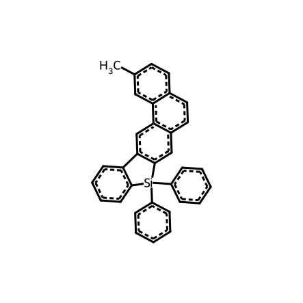 Cc1ccc2ccc3cc4c(cc3c2c1)-c1ccccc1[Si]4(c1ccccc1)c1ccccc1